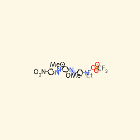 CCN(CCOS(=O)(=O)C(F)(F)F)c1ccc(/N=N/c2cc(OC)c(/N=N/c3ccc([N+](=O)[O-])cc3)cc2OC)cc1